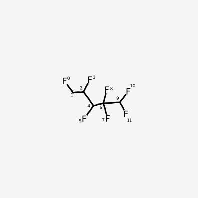 F[CH]C(F)C(F)C(F)(F)C(F)F